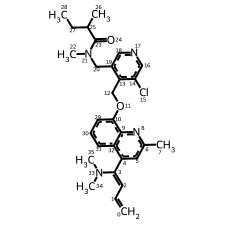 C=C/C=C(/c1cc(C)nc2c(OCc3c(Cl)cncc3CN(C)C(=O)C(C)CC)cccc12)N(C)C